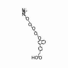 [N-]=[N+]=NCCOCCOCCOCCOCCOc1ccc(-c2ccc(CCC(=O)O)cc2)c2ccccc12